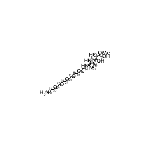 COC(CO)C(O)C(O)N1CNc2c(NCCCOCCOCCOCCOCCOCCCN)ncnc21